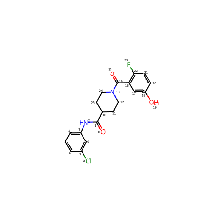 O=C(Nc1cccc(Cl)c1)C1CCN(C(=O)c2cc(O)ccc2F)CC1